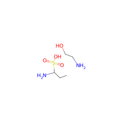 CCC(N)S(=O)(=O)O.NCCO